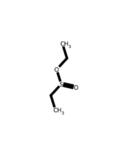 CCOS(=O)CC